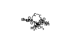 CCCNC(=O)C(=O)[C@@H]1CCCCCCCC[C@H](NC(=O)OC(C)(C)C)C(=O)N2C[C@H]3[C@@H]([C@H]2C(=O)N1)C3(C)C